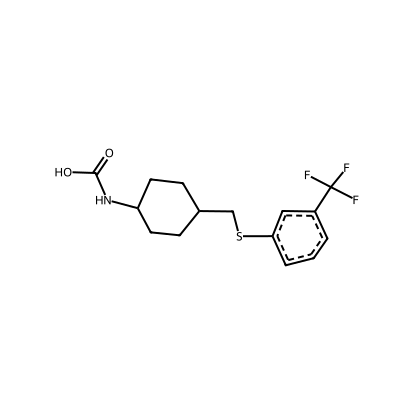 O=C(O)NC1CCC(CSc2cccc(C(F)(F)F)c2)CC1